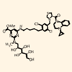 COC(=O)c1cc(NCCCCCc2cc(Cl)c(CN3CSC[C@H]3C(=O)N3CCN(C4CC4)c4ccccc43)cc2Cl)nc(N(C)C[C@H](O)[C@@H](O)[C@H](O)[C@H](O)CO)n1